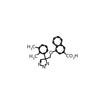 Cc1cccc(C2(COc3cc(C(=O)O)cc4ccccc34)C=NN=N2)c1C